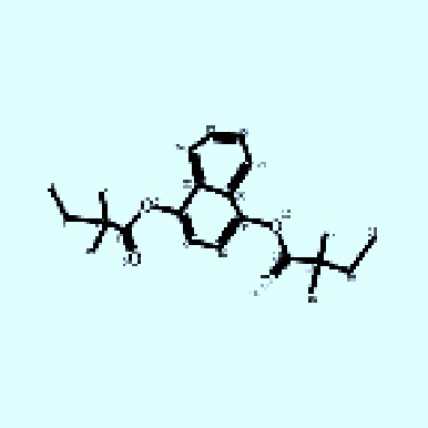 CCC(C)(C)C(=O)Oc1ccc(OC(=O)C(C)(C)CC)c2ccccc12